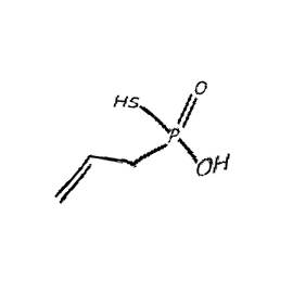 C=CCP(=O)(O)S